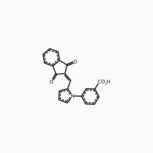 O=C(O)c1cccc(-n2cccc2C=C2C(=O)c3ccccc3C2=O)c1